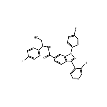 O=C(NC(CO)c1ccc(C(F)(F)F)nc1)c1ccc2c(-c3ccccc3Cl)nn(-c3ccc(F)cc3)c2c1